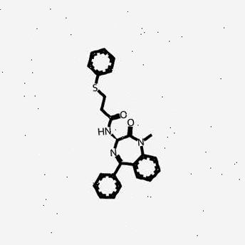 CN1C(=O)[C@H](NC(=O)CCSc2ccccc2)N=C(c2ccccc2)c2ccccc21